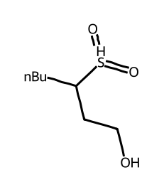 CCCCC(CCO)[SH](=O)=O